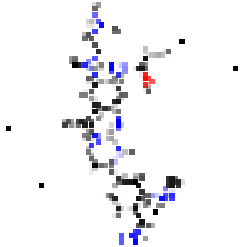 C=CC(=O)Nc1cc(Nc2nccc(-c3ccc(C=N)c(NC(C)C)c3)n2)c(OC)cc1N(C)CCN(C)C